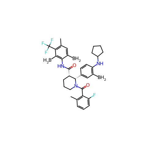 Bc1cc([C@H]2[C@@H](C(=O)Nc3c(B)cc(C)c(C(F)(F)F)c3B)CCCN2C(=O)c2c(C)cccc2F)ccc1NC1CCCC1